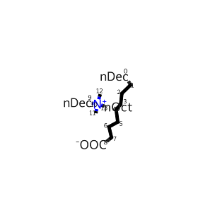 CCCCCCCCCCCCCCCCCC(=O)[O-].CCCCCCCCCC[N+](C)(C)CCCCCCCC